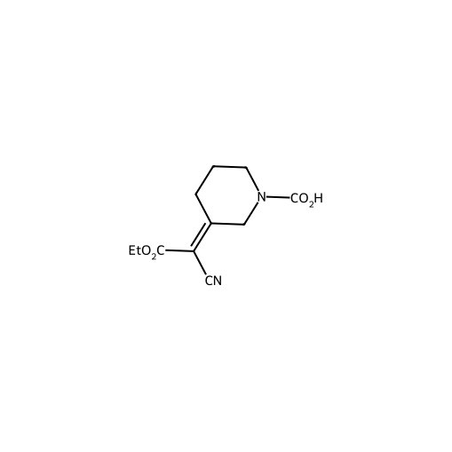 CCOC(=O)/C(C#N)=C1\CCCN(C(=O)O)C1